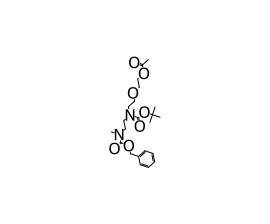 CC(=O)OCCOCCN(CCN(C)C(=O)OCc1ccccc1)C(=O)OC(C)(C)C